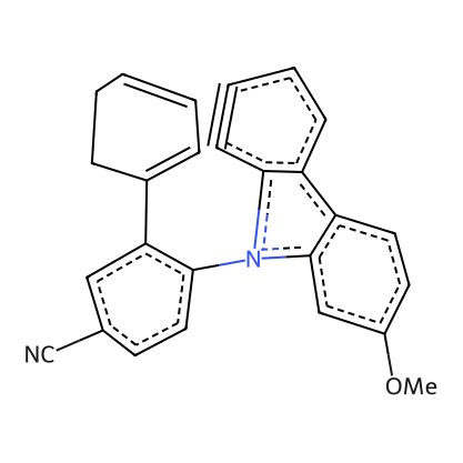 COc1ccc2c3ccc#cc3n(-c3ccc(C#N)cc3C3=CC=CCC3)c2c1